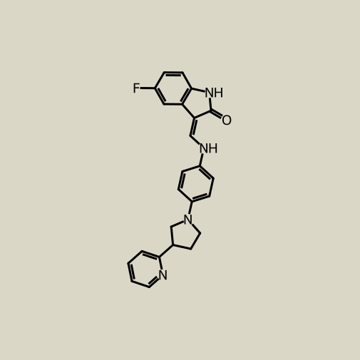 O=C1Nc2ccc(F)cc2C1=CNc1ccc(N2CCC(c3ccccn3)C2)cc1